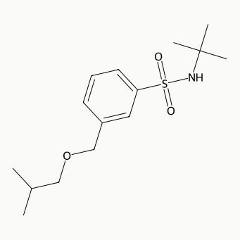 CC(C)COCc1cccc(S(=O)(=O)NC(C)(C)C)c1